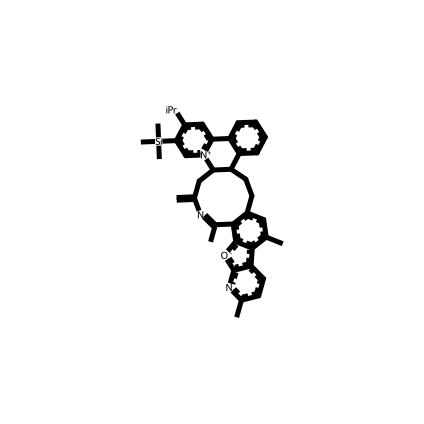 C=C1CC2C(CCc3cc(C)c4c(oc5nc(C)ccc54)c3/C(C)=N\1)c1ccccc1-c1cc(C(C)C)c([Si](C)(C)C)c[n+]12